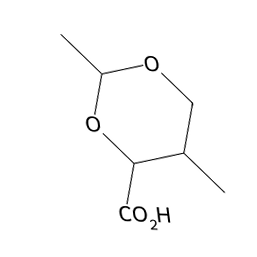 CC1OCC(C)C(C(=O)O)O1